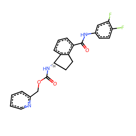 O=C(N[C@H]1CCc2c(C(=O)Nc3ccc(F)c(F)c3)cccc21)OCc1ccccn1